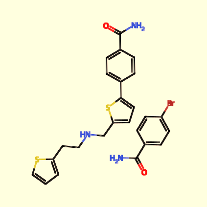 NC(=O)c1ccc(-c2ccc(CNCCc3cccs3)s2)cc1.NC(=O)c1ccc(Br)cc1